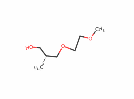 COCCOC[C@H](C)CO